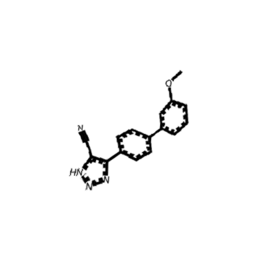 COc1cccc(-c2ccc(-c3nn[nH]c3C#N)cc2)c1